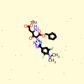 CN(C)c1c(F)cc(-c2nnn(C(C(=O)OCc3ccccc3)C(=O)C(N)CC(=O)OC(C)(C)C)n2)cc1F